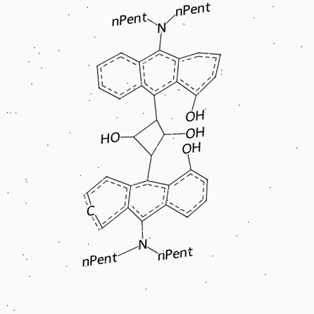 CCCCCN(CCCCC)c1c2ccccc2c(C2C(O)C(c3c4ccccc4c(N(CCCCC)CCCCC)c4cccc(O)c34)C2O)c2c(O)cccc12